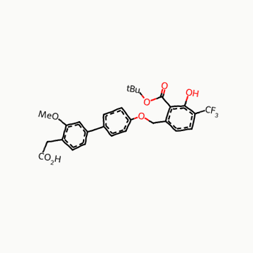 COc1cc(-c2ccc(OCc3ccc(C(F)(F)F)c(O)c3C(=O)OC(C)(C)C)cc2)ccc1CC(=O)O